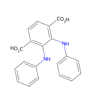 O=C(O)c1ccc(C(=O)O)c(Nc2ccccc2)c1Nc1ccccc1